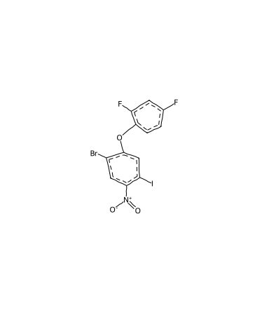 O=[N+]([O-])c1cc(Br)c(Oc2ccc(F)cc2F)cc1I